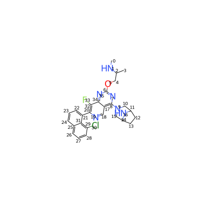 CNC(C)COc1nc(N2CC3CCC(C2)N3)c2cnc(-c3cccc4cccc(Cl)c34)c(F)c2n1